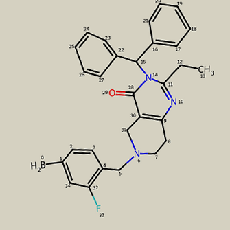 Bc1ccc(CN2CCc3nc(CC)n(C(c4ccccc4)c4ccccc4)c(=O)c3C2)c(F)c1